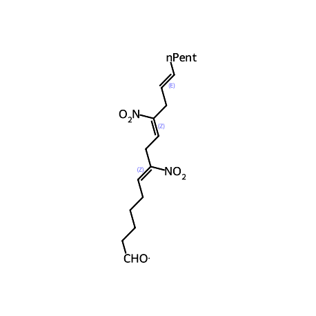 CCCCC/C=C/C/C(=C/C/C(=C/CCCC[C]=O)[N+](=O)[O-])[N+](=O)[O-]